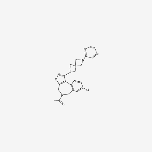 CC(=O)N1Cc2cc(Cl)ccc2-c2c(C3CC4(C3)CN(c3cnccn3)C4)noc2C1